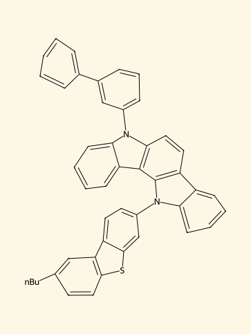 CCCCc1ccc2sc3cc(-n4c5ccccc5c5ccc6c(c7ccccc7n6-c6cccc(-c7ccccc7)c6)c54)ccc3c2c1